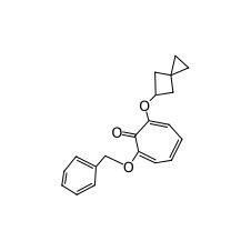 O=c1c(OCc2ccccc2)ccccc1OC1CC2(CC2)C1